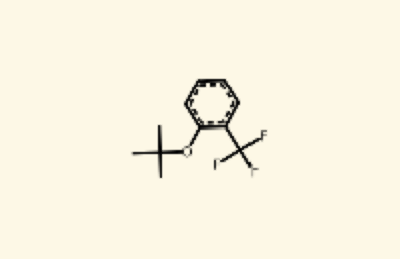 CC(C)(C)Oc1ccccc1C(F)(F)F